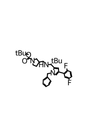 CC(C)(C)OC(=O)N1CCC(CN[C@@H](c2cc(-c3cc(F)ccc3F)cn2Cc2ccccc2)C(C)(C)C)C1